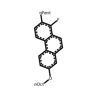 CCCCCCCCOc1ccc2c(ccc3c(F)c(CCCCC)ccc32)c1